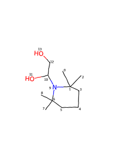 CC1(C)CCCC(C)(C)N1C(O)CO